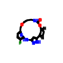 O=C1NCCCOCc2ccc(F)c(n2)Nc2cc([nH]n2)[C@H]2CC[C@H](C2)O1